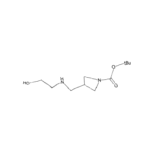 CC(C)(C)OC(=O)N1CC(CNCCO)C1